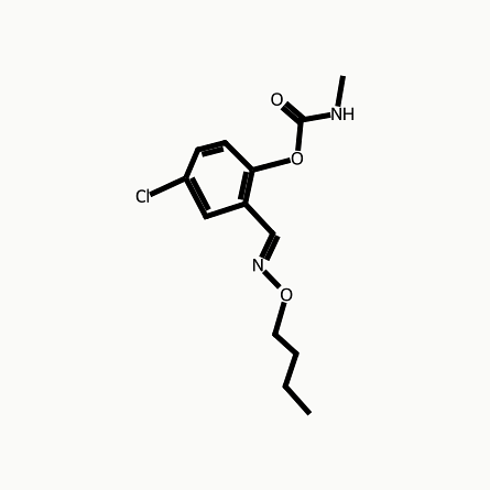 CCCCON=Cc1cc(Cl)ccc1OC(=O)NC